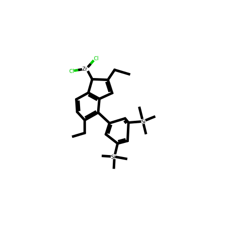 CCC1=Cc2c(ccc(CC)c2-c2cc([Si](C)(C)C)cc([Si](C)(C)C)c2)[CH]1[Zr]([Cl])[Cl]